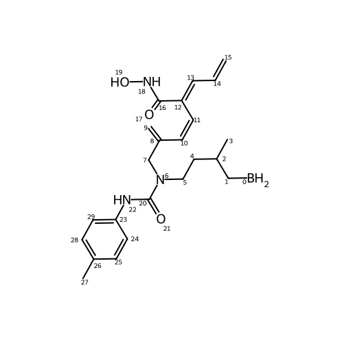 BCC(C)CCN(CC(=C)/C=C\C(=C/C=C)C(=O)NO)C(=O)Nc1ccc(C)cc1